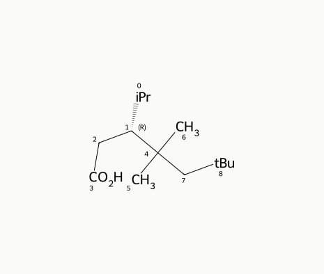 CC(C)[C@@H](CC(=O)O)C(C)(C)CC(C)(C)C